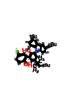 CC(C)(C)CC(C)(C)c1cc(-c2cc(F)ccc2O)c(O)c(-n2c3ccc(C(C)(C)C)cc3c3cc(C(C)(C)C)ccc32)c1